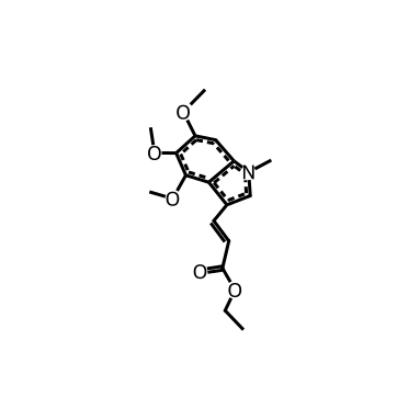 CCOC(=O)C=Cc1cn(C)c2cc(OC)c(OC)c(OC)c12